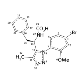 COc1cc(Br)ccc1-n1nnc(C)c1[C@@H](Cc1ccccc1)NC(=O)O